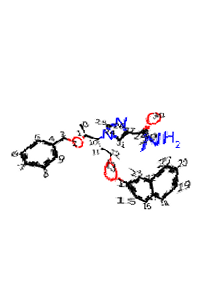 C[C@H](OCc1ccccc1)[C@@H](CCOc1ccc2ccccc2c1)n1cnc(C(N)=O)c1